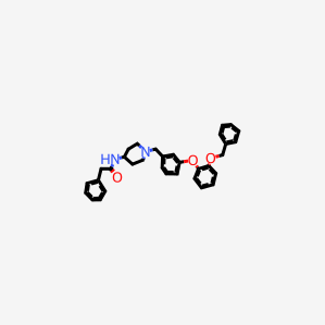 O=C(Cc1ccccc1)NC1CCN(Cc2cccc(Oc3ccccc3OCc3ccccc3)c2)CC1